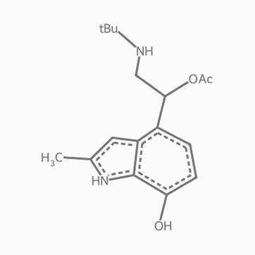 CC(=O)OC(CNC(C)(C)C)c1ccc(O)c2[nH]c(C)cc12